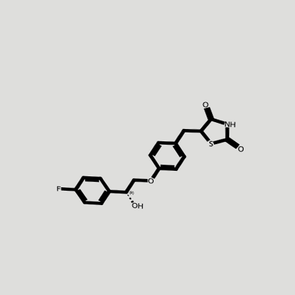 O=C1NC(=O)C(Cc2ccc(OC[C@H](O)c3ccc(F)cc3)cc2)S1